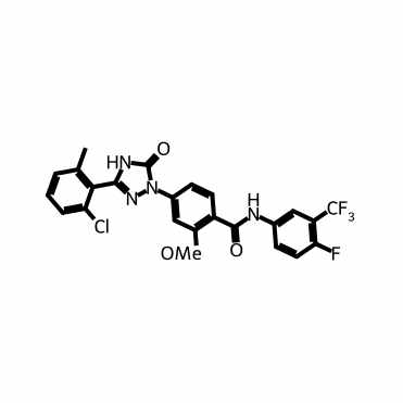 COc1cc(-n2nc(-c3c(C)cccc3Cl)[nH]c2=O)ccc1C(=O)Nc1ccc(F)c(C(F)(F)F)c1